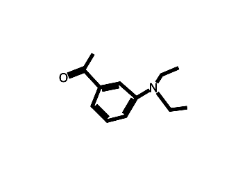 CCN(CC)c1cccc(C(C)=O)c1